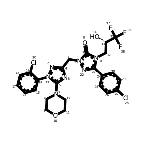 O=c1n(Cc2nc(N3CCOCC3)n(-c3ccccc3Cl)n2)nc(-c2ccc(Cl)cc2)n1C[C@H](O)C(F)(F)F